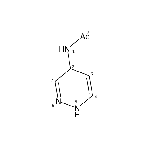 CC(=O)NC1C=CNN=C1